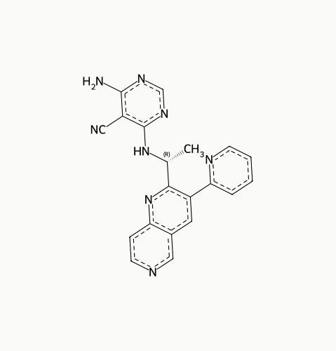 C[C@@H](Nc1ncnc(N)c1C#N)c1nc2ccncc2cc1-c1ccccn1